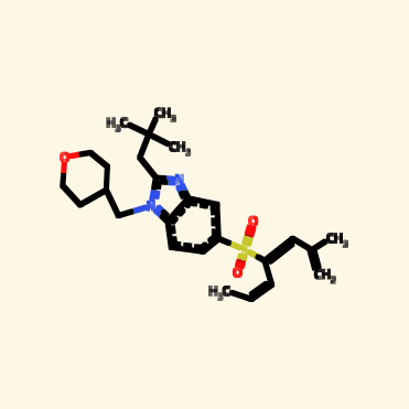 C=C(C)/C=C(\C=C/C)S(=O)(=O)c1ccc2c(c1)nc(CC(C)(C)C)n2CC1CCOCC1